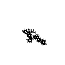 CC1(C)c2ccccc2-c2cc3c4c(n(-c5ccc6sc7cc(-c8ccccc8)ccc7c6c5)c3cc21)CCCC4